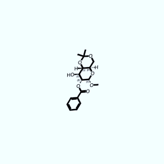 CO[C@H]1O[C@@H]2COC(C)(C)O[C@H]2[C@H](O)[C@H]1OC(=O)c1ccccc1